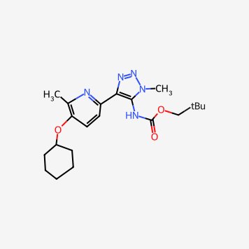 Cc1nc(-c2nnn(C)c2NC(=O)OCC(C)(C)C)ccc1OC1CCCCC1